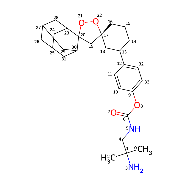 CC(C)(N)CNC(=O)Oc1ccc(C2CCC[C@@]3(C2)CC2(OO3)C3CC4CC(C3)CC2C4)cc1